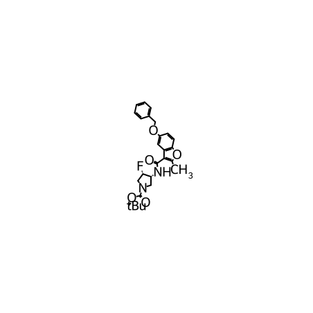 Cc1oc2ccc(OCc3ccccc3)cc2c1C(=O)N[C@@H]1CN(C(=O)OC(C)(C)C)C[C@@H]1F